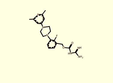 Cc1cc(N2CCN(c3cccc(COC(=O)NC(=N)N)c3F)CC2)cc(C)n1